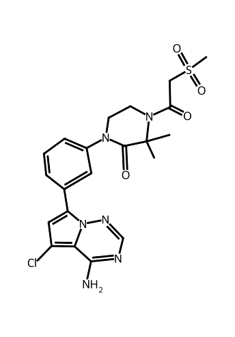 CC1(C)C(=O)N(c2cccc(-c3cc(Cl)c4c(N)ncnn34)c2)CCN1C(=O)CS(C)(=O)=O